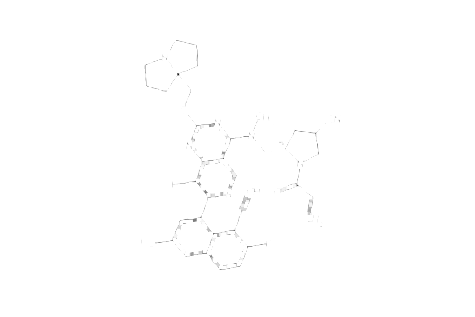 C#Cc1c(F)ccc2cc(O)cc(-c3ncc4c(N(C)C[C@@H]5CC(C#N)CN5C(=O)C=C)nc(OCC56CCCN5CCC6)nc4c3F)c12